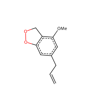 C=CCc1cc(OC)c2c(c1)OOC2